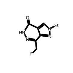 CCn1cc2c(=O)[nH]nc(CF)c2n1